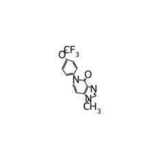 Cn1cnc2c(=O)n(-c3ccc(OC(F)(F)F)cc3)ccc21